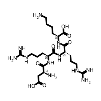 N=C(N)NCCC[C@H](NC(=O)[C@H](CCCNC(=N)N)NC(=O)[C@@H](N)CC(=O)O)C(=O)N[C@@H](CCCCN)C(=O)O